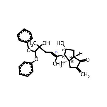 C=C1C[C@H]2[C@@H](/C(C)=C/CC(C)(O)C(Oc3ccccc3)Oc3ccccc3)[C@H](O)C[C@@H]2C1=O